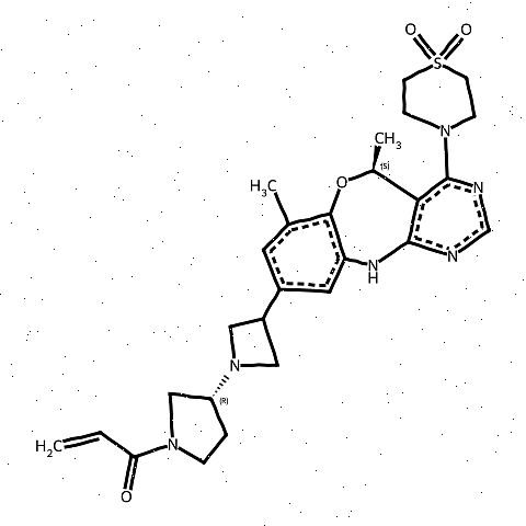 C=CC(=O)N1CC[C@@H](N2CC(c3cc(C)c4c(c3)Nc3ncnc(N5CCS(=O)(=O)CC5)c3[C@H](C)O4)C2)C1